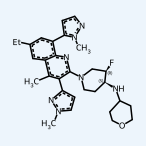 CCc1cc(-c2ccnn2C)c2nc(N3CC[C@H](NC4CCOCC4)[C@H](F)C3)c(-c3ccn(C)n3)c(C)c2c1